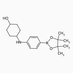 CC1(C)OB(c2ccc(NC3CCC(O)CC3)cc2)OC1(C)C